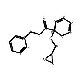 O=C(CCc1ccccc1)C1(OCC2CO2)C=CC=CC1